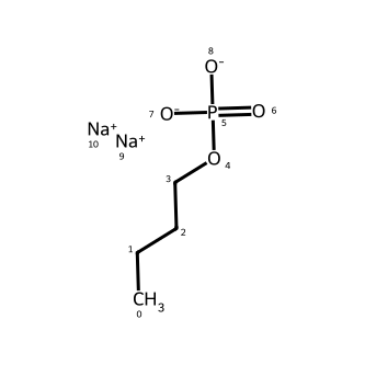 CCCCOP(=O)([O-])[O-].[Na+].[Na+]